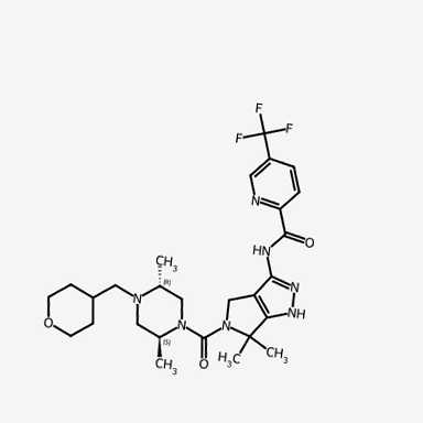 C[C@@H]1CN(C(=O)N2Cc3c(NC(=O)c4ccc(C(F)(F)F)cn4)n[nH]c3C2(C)C)[C@@H](C)CN1CC1CCOCC1